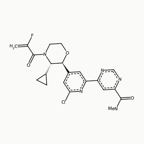 C=C(F)C(=O)N1CCO[C@@H](c2cc(Cl)nc(-c3cc(C(=O)NC)ncn3)c2)[C@@H]1C1CC1